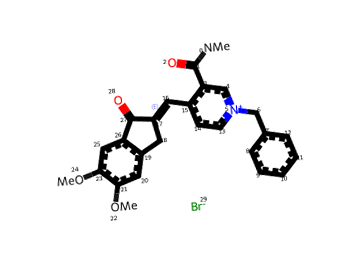 CNC(=O)c1c[n+](Cc2ccccc2)ccc1/C=C1\Cc2cc(OC)c(OC)cc2C1=O.[Br-]